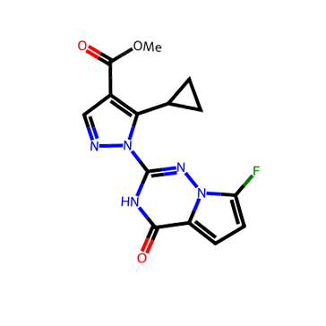 COC(=O)c1cnn(-c2nn3c(F)ccc3c(=O)[nH]2)c1C1CC1